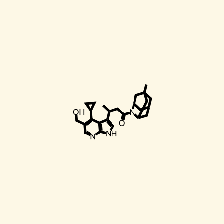 CC(CC(=O)N1C2CC3CC1CC(C)(C3)C2)c1c[nH]c2ncc(CO)c(C3CC3)c12